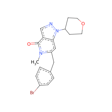 Cn1c(Cc2ccc(Br)cc2)cc2c(cnn2C2CCOCC2)c1=O